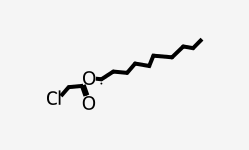 CCCCCCCCC[CH]OC(=O)CCl